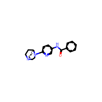 O=C(Nc1ccc(N2CCN3CCC2CC3)nc1)c1ccccc1